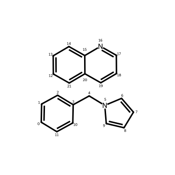 c1ccc(Cn2cccc2)cc1.c1ccc2ncccc2c1